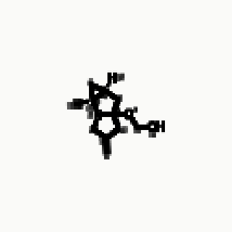 C=C1CN2[C@H]3C[C@H]3CC2(OCO)C1